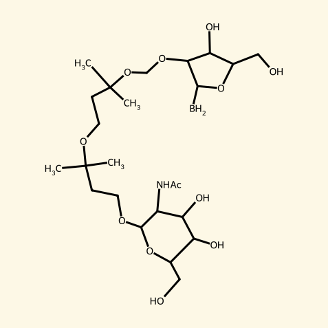 BC1OC(CO)C(O)C1OCOC(C)(C)CCOC(C)(C)CCOC1OC(CO)C(O)C(O)C1NC(C)=O